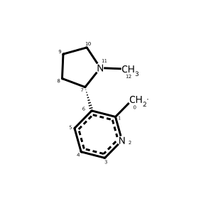 [CH2]c1ncccc1[C@@H]1CCCN1C